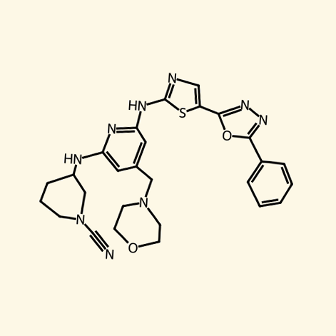 N#CN1CCCC(Nc2cc(CN3CCOCC3)cc(Nc3ncc(-c4nnc(-c5ccccc5)o4)s3)n2)C1